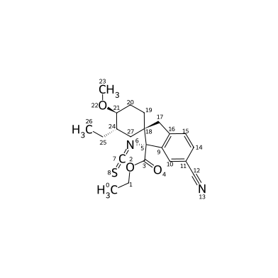 CCOC(=O)[C@]1(N=C=S)c2cc(C#N)ccc2C[C@@]12CC[C@H](OC)[C@@H](CC)C2